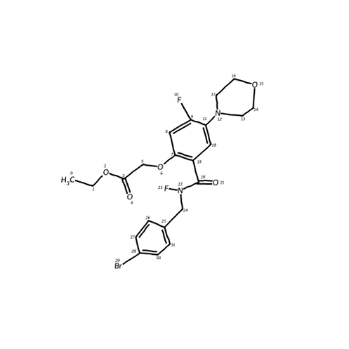 CCOC(=O)COc1cc(F)c(N2CCOCC2)cc1C(=O)N(F)Cc1ccc(Br)cc1